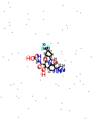 O=C(O)CNC(=O)c1c(O)c2ccc(-c3ccn[nH]3)c3c2n(c1=O)C(c1ccc(C(F)(F)F)cc1)CO3